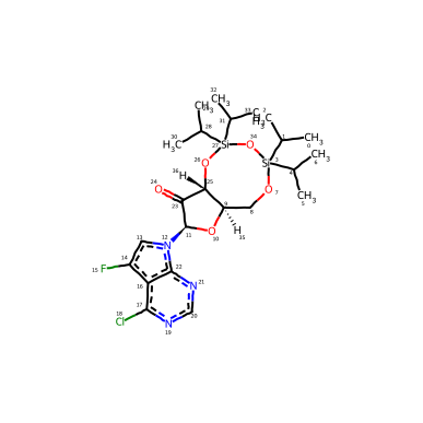 CC(C)[Si]1(C(C)C)OC[C@H]2O[C@@H](n3cc(F)c4c(Cl)ncnc43)C(=O)[C@@H]2O[Si](C(C)C)(C(C)C)O1